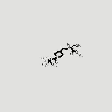 COC(=O)[C@H](CO)NCCC1CCN(C(=O)OC(C)(C)C)CC1